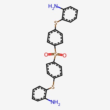 Nc1ccccc1Sc1ccc(S(=O)(=O)c2ccc(Sc3ccccc3N)cc2)cc1